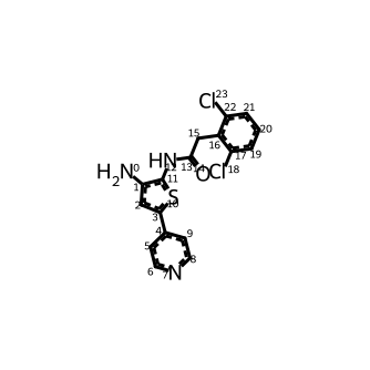 Nc1cc(-c2ccncc2)sc1NC(=O)Cc1c(Cl)cccc1Cl